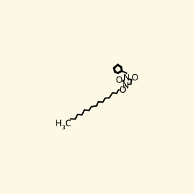 CCCCCCCCCCCCCCCCON1CC(=O)N(Cc2ccccc2)C1=O